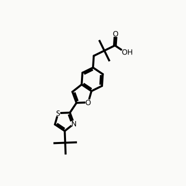 CC(C)(Cc1ccc2oc(-c3nc(C(C)(C)C)cs3)cc2c1)C(=O)O